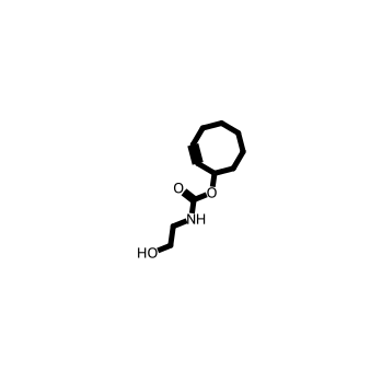 O=C(NCCO)OC1C#CCCCCC1